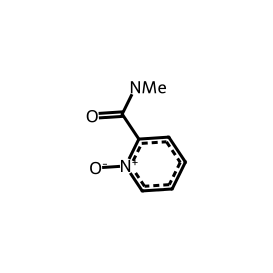 CNC(=O)c1cccc[n+]1[O-]